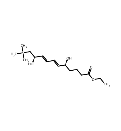 CCOC(=O)CCC[C@H](O)/C=C/C=C/[C@@H](O)C[Si](C)(C)C